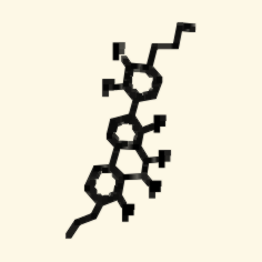 C=CCCc1ccc(-c2ccc3c(c2F)C(F)C(F)c2c-3ccc(CCC)c2F)c(F)c1F